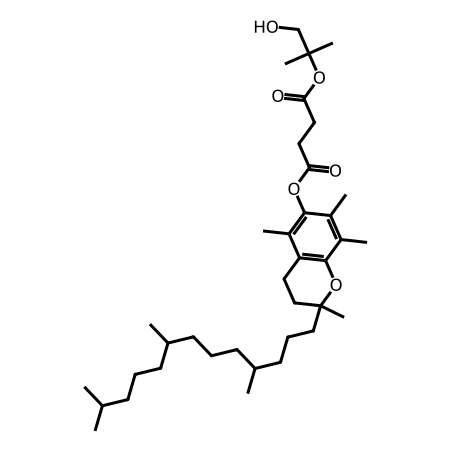 Cc1c(C)c2c(c(C)c1OC(=O)CCC(=O)OC(C)(C)CO)CCC(C)(CCCC(C)CCCC(C)CCCC(C)C)O2